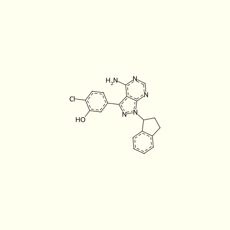 Nc1ncnc2c1c(-c1ccc(Cl)c(O)c1)nn2C1CCc2ccccc21